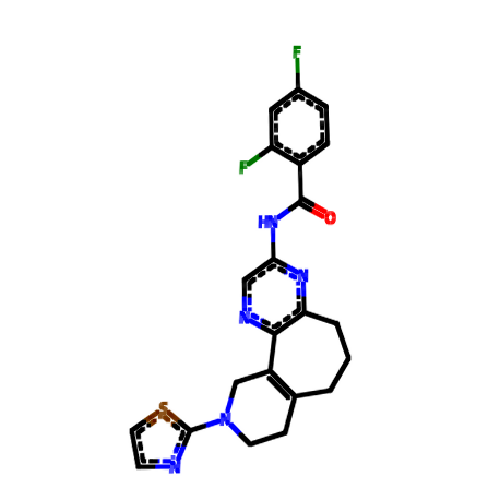 O=C(Nc1cnc2c(n1)CCCC1=C2CN(c2nccs2)CC1)c1ccc(F)cc1F